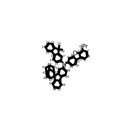 CC(C)c1cccc2c1oc1cc(N(c3ccc4c(c3)C(C)(C)c3ccccc3-4)c3ccc4c(c3)C3(c5ccccc5-4)C4CC5CC(C4)CC3C5)ccc12